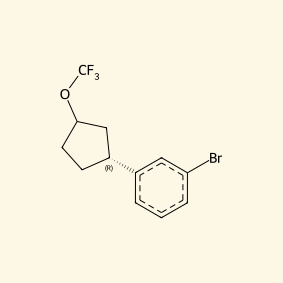 FC(F)(F)OC1CC[C@@H](c2cccc(Br)c2)C1